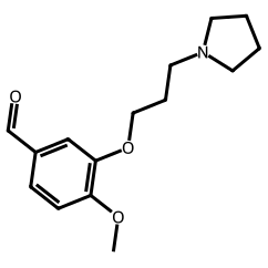 COc1ccc(C=O)cc1OCCCN1CCCC1